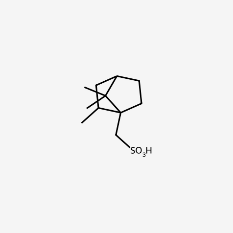 CC1CC2CCC1(CS(=O)(=O)O)C2(C)C